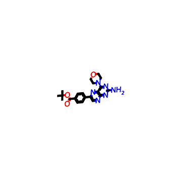 CC(C)(C)OC(=O)c1ccc(-c2cnc3nc(N)nc(N4CCOCC4)c3n2)cc1